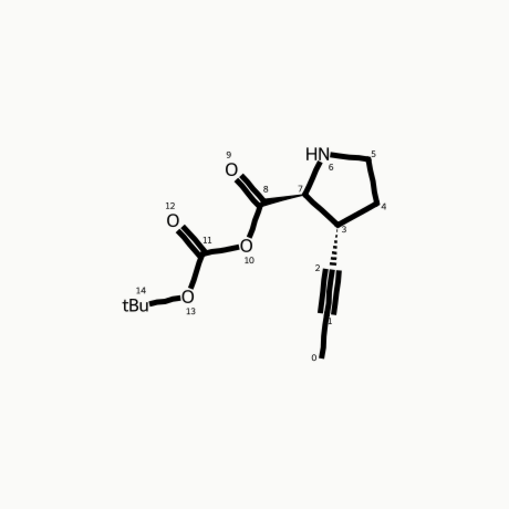 CC#C[C@H]1CCN[C@@H]1C(=O)OC(=O)OC(C)(C)C